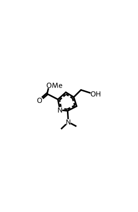 COC(=O)c1cc(CO)cc(N(C)C)n1